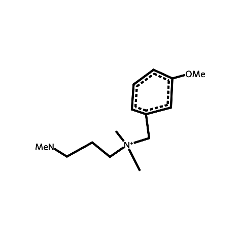 CNCCC[N+](C)(C)Cc1cccc(OC)c1